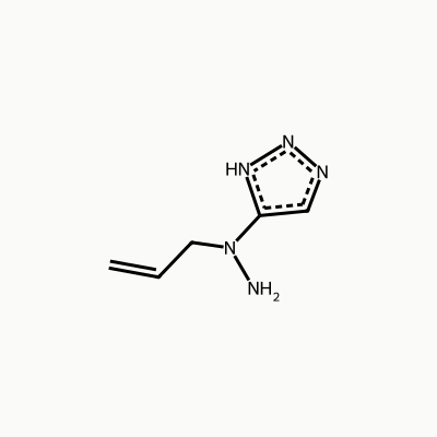 C=CCN(N)c1cnn[nH]1